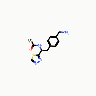 CC(=O)N[C@@H](Cc1ccc(CN)cc1)c1nncs1